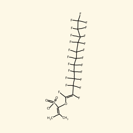 CC(C)=C(OC(F)=C(F)C(F)(F)C(F)(F)C(F)(F)C(F)(F)C(F)(F)C(F)(F)C(F)(F)C(F)(F)C(F)(F)C(F)(F)F)S(=O)(=O)Cl